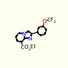 CCOC(=O)c1cccn2cc(-c3cccc(OC(F)(F)F)c3)nc12